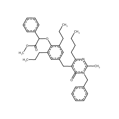 CCCCc1nc(C)n(Cc2ccccc2)c(=O)c1Cc1cc(CCC)c(OC(C(=O)OC)c2ccccc2)c(CCC)c1